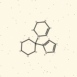 C1=CN(C2(c3cccs3)CCCCC2)CCC1